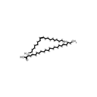 CCCCCCCC/C=C\CCCCCCCCN.CCCCCCCCCCCCCCCCCCCCCC(=O)O